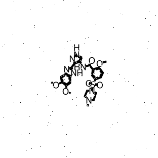 COc1cc2nc(-c3n[nH]cc3NC(=O)c3cc(S(=O)(=O)N4CCN(C)CC4)ccc3OC)[nH]c2cc1OC